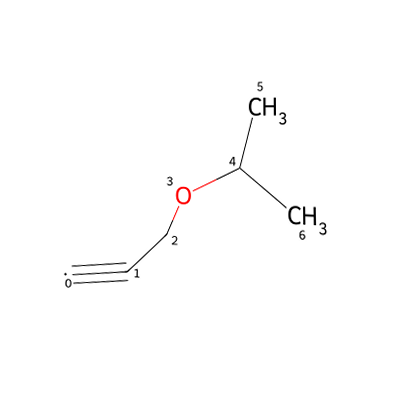 [C]#CCOC(C)C